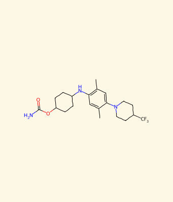 Cc1cc(N2CCC(C(F)(F)F)CC2)c(C)cc1NC1CCC(OC(N)=O)CC1